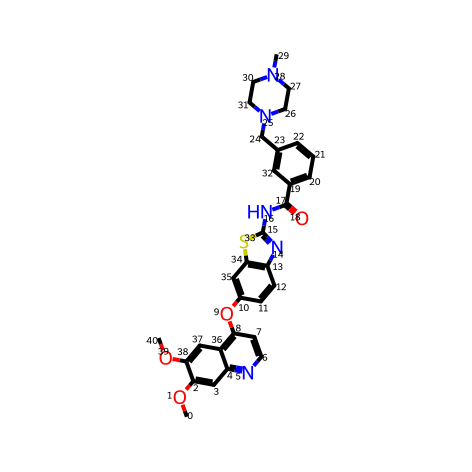 COc1cc2nccc(Oc3ccc4nc(NC(=O)c5cccc(CN6CCN(C)CC6)c5)sc4c3)c2cc1OC